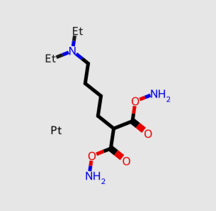 CCN(CC)CCCCC(C(=O)ON)C(=O)ON.[Pt]